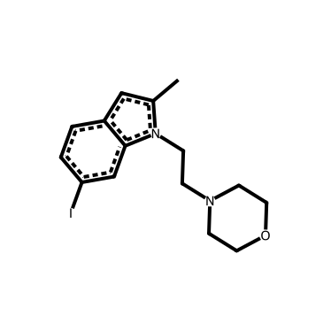 Cc1cc2ccc(I)cc2n1CCN1CCOCC1